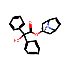 CN1C2C=CC1CC(OC(=O)C(O)(c1ccccc1)c1ccccc1)C2